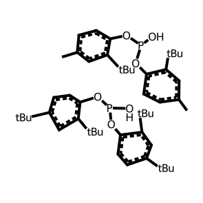 CC(C)(C)c1ccc(OP(O)Oc2ccc(C(C)(C)C)cc2C(C)(C)C)c(C(C)(C)C)c1.Cc1ccc(OP(O)Oc2ccc(C)cc2C(C)(C)C)c(C(C)(C)C)c1